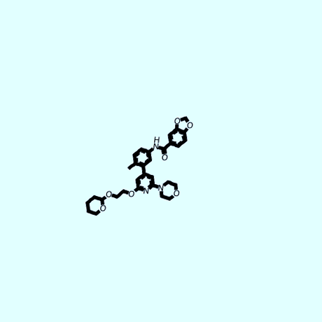 Cc1ccc(NC(=O)c2ccc3c(c2)OCO3)cc1-c1cc(OCCOC2CCCCO2)nc(N2CCOCC2)c1